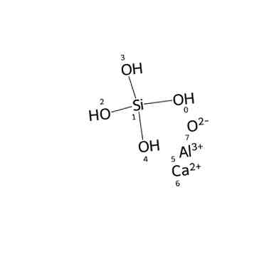 O[Si](O)(O)O.[Al+3].[Ca+2].[O-2]